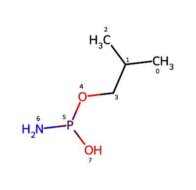 CC(C)COP(N)O